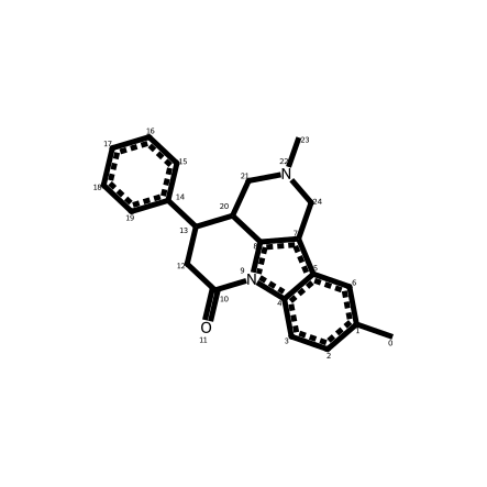 Cc1ccc2c(c1)c1c3n2C(=O)CC(c2ccccc2)C3CN(C)C1